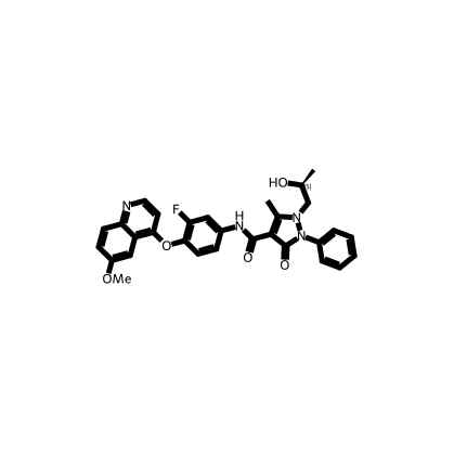 COc1ccc2nccc(Oc3ccc(NC(=O)c4c(C)n(C[C@H](C)O)n(-c5ccccc5)c4=O)cc3F)c2c1